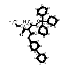 CCOC(=O)C(C(=O)Cc1ccc(-c2ccccc2)cc1)C(C)COC(c1ccccc1)(c1ccccc1)c1ccccc1